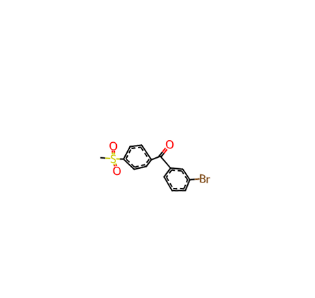 CS(=O)(=O)c1ccc(C(=O)c2cccc(Br)c2)cc1